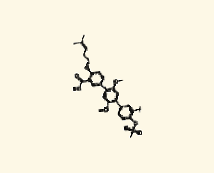 COc1cc(-c2ccc(OCCC=C(C)C)c(C(=O)O)c2)c(OC)cc1-c1ccc(OS(C)(=O)=O)c(F)c1